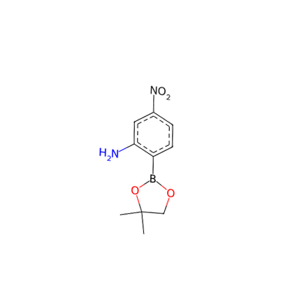 CC1(C)COB(c2ccc([N+](=O)[O-])cc2N)O1